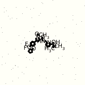 CC(=O)N1CC(c2ccc(OC(F)F)c(OC3CCCC3)c2)C[C@@H]1C(=O)NCc1cccc(C(O)N(C)C)n1